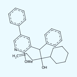 C=CCC(O)(C1CCCCC1)C(c1ccccc1)c1cc(-c2ccccc2)cnc1OC